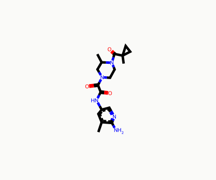 Cc1cc(NC(=O)C(=O)N2CCN(C(=O)C3(C)CC3)C(C)C2)cnc1N